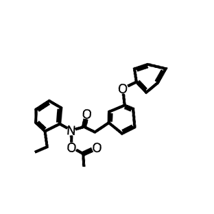 CCc1ccccc1N(OC(C)=O)C(=O)Cc1cccc(Oc2ccccc2)c1